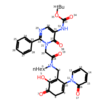 CCCCCCN(CC1=C(O)C(=O)CC=C1n1ccccc1=O)C(=O)Cn1c(-c2ccccc2)ncc(NC(=O)OC(C)(C)C)c1=O